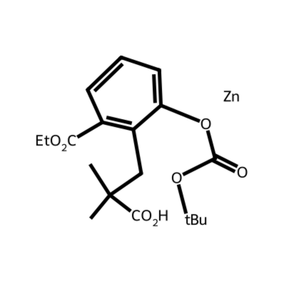 CCOC(=O)c1cccc(OC(=O)OC(C)(C)C)c1CC(C)(C)C(=O)O.[Zn]